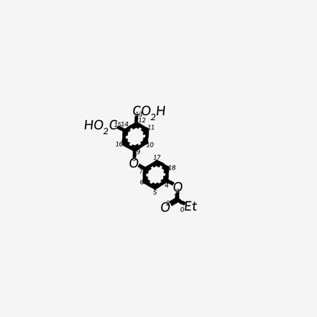 CCC(=O)Oc1ccc(Oc2ccc(C(=O)O)c(C(=O)O)c2)cc1